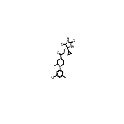 Cc1cc(Cl)cc(N2CCN(C(=O)CC[C@@]3(C4CC4)NC(=O)NC3=O)C[C@@H]2C)c1